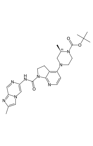 Cc1cn2cc(NC(=O)N3CCc4c(N5CCN(C(=O)OC(C)(C)C)[C@H](C)C5)ccnc43)ncc2n1